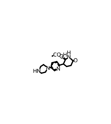 CC(=O)O.O=C1CCC(c2ccc(N3CCNCC3)cn2)C(=O)N1